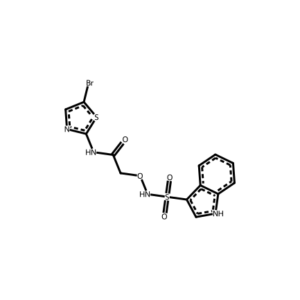 O=C(CONS(=O)(=O)c1c[nH]c2ccccc12)Nc1ncc(Br)s1